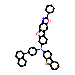 c1ccc(-c2nc3cc4oc5cc(N(c6ccc(-c7cccc8ccccc78)cc6)c6ccc7c(c6)sc6ccccc67)ccc5c4cc3o2)cc1